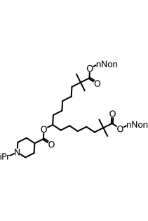 CCCCCCCCCOC(=O)C(C)(C)CCCCCC(CCCCCC(C)(C)C(=O)OCCCCCCCCC)OC(=O)C1CCN(C(C)C)CC1